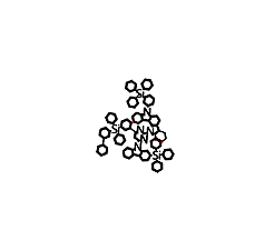 C1=Cc2c(c3ccc4c(c5ccccc5n4-c4cccc([Si](c5ccccc5)(c5ccccc5)c5ccccc5)c4)c3n2-c2nc(-c3cccc([Si](c4ccccc4)(c4ccccc4)c4cccc(-c5ccccc5)c4)c3)cc(-n3c4ccccc4c4ccc([Si](c5ccccc5)(c5ccccc5)c5ccccc5)cc43)n2)CC1